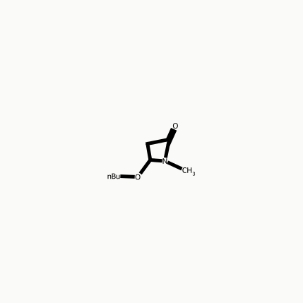 CCCCOC1CC(=O)N1C